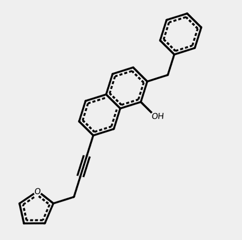 Oc1c(Cc2ccccc2)ccc2ccc(C#CCc3ccco3)cc12